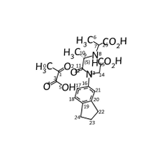 CC(=O)C(=O)O.CC(N[C@@H](C)C(=O)N(CC(=O)O)c1ccc2c(c1)CCC2)C(=O)O